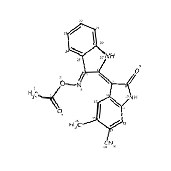 CC(=O)O/N=C1/C(=C2/C(=O)Nc3cc(C)c(C)cc32)Nc2ccccc21